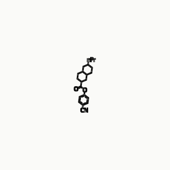 CCCC1CCC2CC(C(=O)Oc3ccc(C#N)cc3)CCC2C1